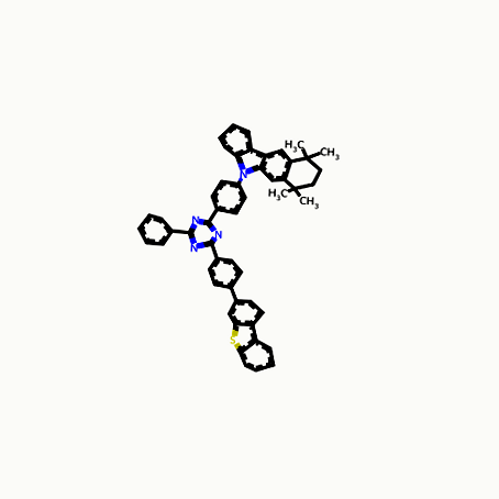 CC1(C)CCC(C)(C)c2cc3c(cc21)c1ccccc1n3-c1ccc(-c2nc(-c3ccccc3)nc(-c3ccc(-c4ccc5c(c4)sc4ccccc45)cc3)n2)cc1